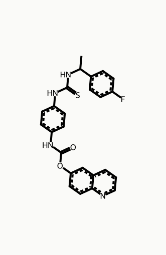 CC(NC(=S)Nc1ccc(NC(=O)Oc2ccc3ncccc3c2)cc1)c1ccc(F)cc1